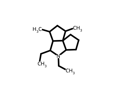 CCC1C2C(C)CC(C)C23CCCC3N1CC